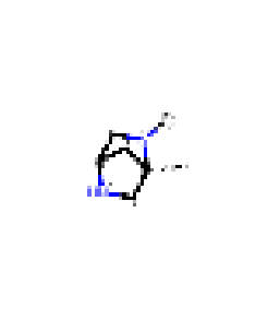 CCN1CC2C[C@@H]1CN2